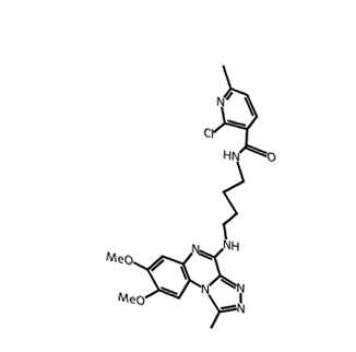 COc1cc2nc(NCCCCNC(=O)c3ccc(C)nc3Cl)c3nnc(C)n3c2cc1OC